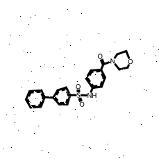 O=C(c1ccc(NS(=O)(=O)c2ccc(-c3ccccc3)cc2)cc1)N1CCOCC1